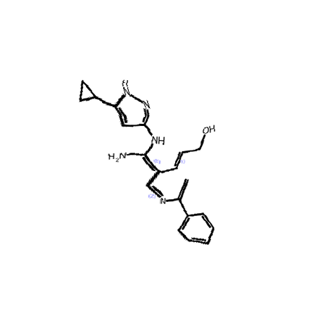 C=C(\N=C/C(/C=C/CO)=C(\N)Nc1cc(C2CC2)[nH]n1)c1ccccc1